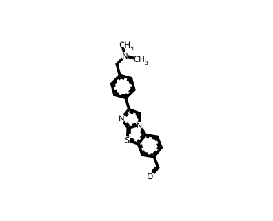 CN(C)Cc1ccc(-c2cn3c(n2)sc2cc(C=O)ccc23)cc1